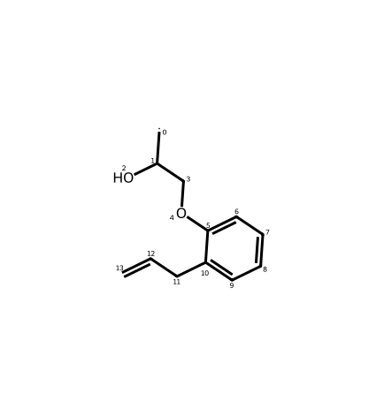 [CH2]C(O)COc1ccccc1CC=C